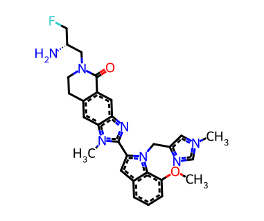 COc1cccc2cc(-c3nc4cc5c(cc4n3C)CCN(C[C@H](N)CF)C5=O)n(Cc3cn(C)cn3)c12